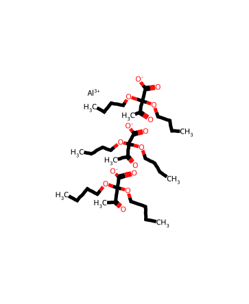 CCCCOC(OCCCC)(C(C)=O)C(=O)[O-].CCCCOC(OCCCC)(C(C)=O)C(=O)[O-].CCCCOC(OCCCC)(C(C)=O)C(=O)[O-].[Al+3]